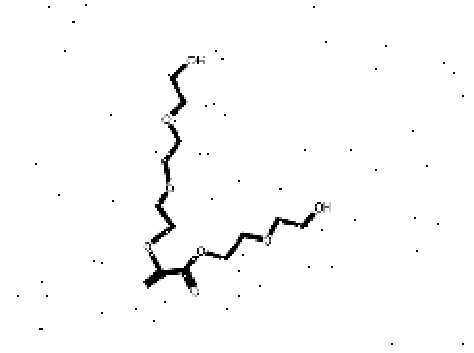 C=C(OCCOCCOCCO)C(=O)OCCOCCO